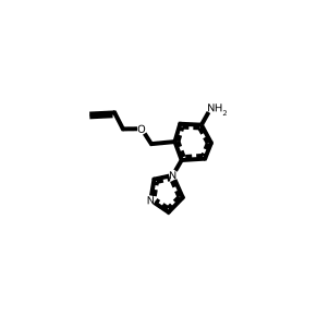 C=CCOCc1cc(N)ccc1-n1ccnc1